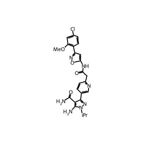 COc1cc(Cl)ccc1-c1cc(NC(=O)Cc2ccc(-c3nn(C(C)C)c(N)c3C(N)=O)cn2)on1